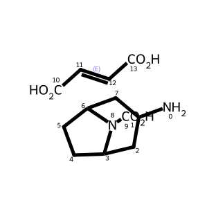 NC1CC2CCC(C1)N2C(=O)O.O=C(O)/C=C/C(=O)O